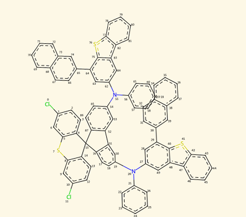 Clc1ccc2c(c1)Sc1cc(Cl)ccc1C21c2ccc(N(c3ccccc3)c3cc(-c4ccc5ccccc5c4)c4sc5ccccc5c4c3)cc2-c2cc(N(c3ccccc3)c3cc(-c4ccc5ccccc5c4)c4sc5ccccc5c4c3)ccc21